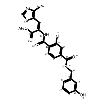 COC(=O)C(=Cc1scnc1C(C)C)NC(=O)c1ccc(C(=O)NCc2cccc(O)c2)cc1Cl